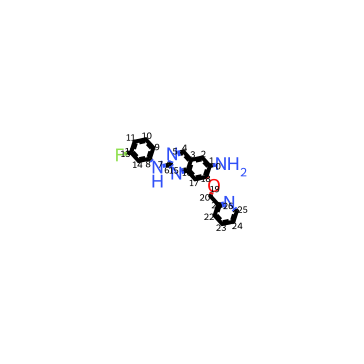 Nc1cc2cnc(Nc3cccc(F)c3)nc2cc1OCc1ccccn1